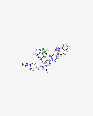 CN1CCC(CCN(C)C(=O)[C@H](CC(=O)N2CCC(N3CCc4ccccc4NC3=O)CC2)Cc2cc(Cl)c(N)c(C(F)(F)F)c2)CC1